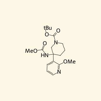 COC(=O)NC1(c2cccnc2OC)CCCN(C(=O)OC(C)(C)C)C1